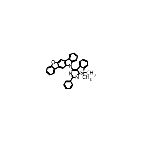 C[Si]1(C)c2ccccc2-c2c(-n3c4ccccc4c4cc5oc6ccccc6c5cc43)nc(-c3ccccc3)nc21